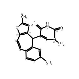 Cc1ccc2c(c1)C(c1cn(C)c(=O)[nH]c1=S)c1nc(C)oc1C=C2